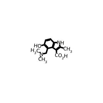 Cc1[nH]c2ccc(O)c(CN(C)C)c2c1C(=O)O